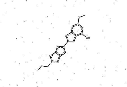 COc1cc(O)c2cc(-c3cn4nc(CCF)sc4n3)oc2c1